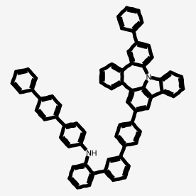 c1ccc(-c2ccc(-c3ccc(Nc4ccccc4-c4cccc(-c5ccc(-c6cc7c8c(c6)c6ccccc6n8-c6ccc(-c8ccccc8)cc6-c6ccccc6-7)cc5)c4)cc3)cc2)cc1